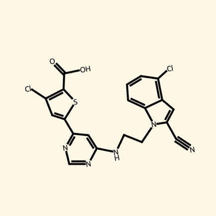 N#Cc1cc2c(Cl)cccc2n1CCNc1cc(-c2cc(Cl)c(C(=O)O)s2)ncn1